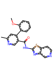 COc1ccccc1-c1cc(C)ncc1C(=O)Nc1nc2cnccc2s1